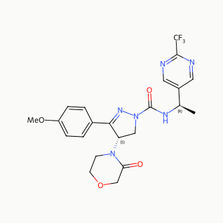 COc1ccc(C2=NN(C(=O)N[C@H](C)c3cnc(C(F)(F)F)nc3)C[C@@H]2N2CCOCC2=O)cc1